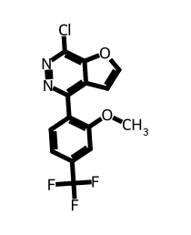 COc1cc(C(F)(F)F)ccc1-c1nnc(Cl)c2occc12